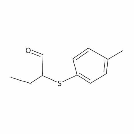 CCC(C=O)Sc1ccc(C)cc1